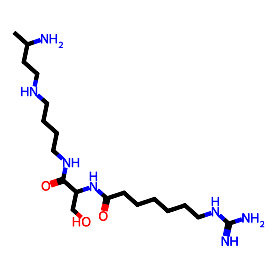 CC(N)CCNCCCCNC(=O)C(CO)NC(=O)CCCCCCNC(=N)N